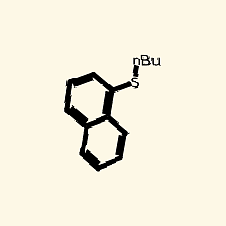 CCCCSc1cccc2ccc[c]c12